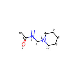 CC(=O)NCN1CCCCC1